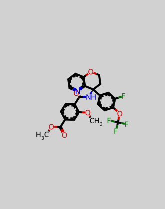 COC(=O)c1ccc(C(=O)N[C@]2(c3ccc(OC(F)(F)F)c(F)c3)CCOc3cccnc32)c(OC)c1